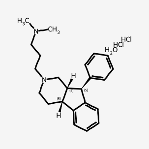 CN(C)CCCN1CC[C@H]2c3ccccc3[C@H](c3ccccc3)[C@H]2C1.Cl.Cl.O